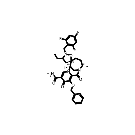 CCC1C[C@]2(CC[C@H](C)N3C[C@H]2n2cc(C(N)=O)c(=O)c(OCc4ccccc4)c2C3=O)ON1Cc1c(F)cc(F)cc1F